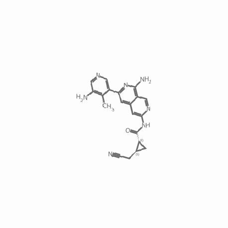 Cc1c(N)cncc1-c1cc2cc(NC(=O)[C@@H]3C[C@H]3CC#N)ncc2c(N)n1